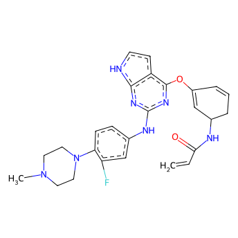 C=CC(=O)NC1C=C(Oc2nc(Nc3ccc(N4CCN(C)CC4)c(F)c3)nc3[nH]ccc23)C=CC1